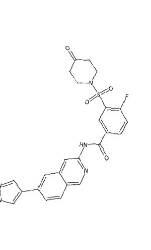 Cn1cc(-c2ccc3cnc(NC(=O)c4ccc(F)c(S(=O)(=O)N5CCC(=O)CC5)c4)cc3c2)cn1